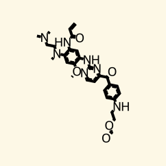 C=CC(=O)Nc1cc(Nc2nccc(C(=O)c3ccc(NCCOC=O)cc3)n2)c(OC)cc1N(C)CCN(C)C